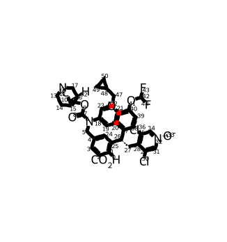 O=C(O)c1ccc(CN(C(=O)O[C@H]2CN3CCC2CC3)c2cccnc2)cc1[C@@H](Cc1c(Cl)c[n+]([O-])cc1Cl)c1ccc(OC(F)F)c(OCC2CC2)c1